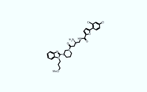 COCCCn1c([C@@H]2CCCN(C(=O)C[C@@H](N)CNC(=O)c3ccc(-c4ccc(Cl)cc4Cl)o3)C2)nc2ccccc21